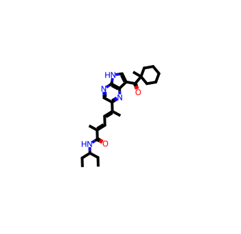 CCC(CC)NC(=O)/C(C)=C/C=C(\C)c1cnc2[nH]cc(C(=O)C3(C)CCCCC3)c2n1